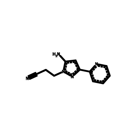 N#CCCn1nc(-c2ccccn2)cc1N